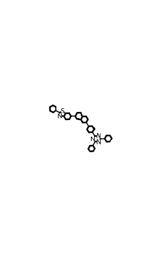 c1ccc(-c2nc(-c3ccccc3)nc(-c3ccc(-c4ccc5ccc(-c6ccc7nc(-c8ccccc8)sc7c6)cc5c4)cc3)n2)cc1